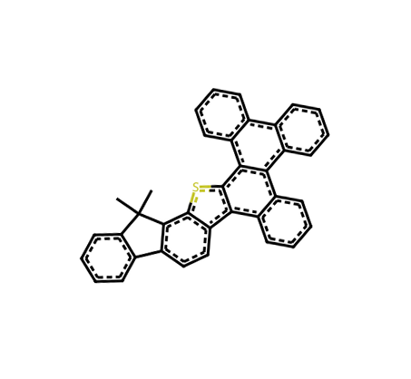 CC1(C)c2ccccc2-c2ccc3c(sc4c3c3ccccc3c3c5ccccc5c5ccccc5c43)c21